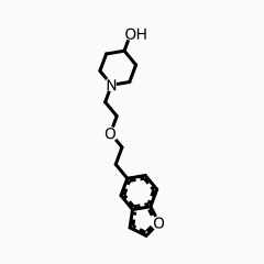 OC1CCN(CCOCCc2ccc3occc3c2)CC1